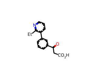 CCc1ncccc1-c1cccc(C(=O)CC(=O)O)c1